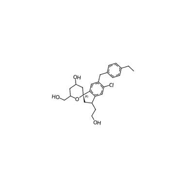 CCc1ccc(Cc2cc3c(cc2Cl)C(CCO)C[C@@]32CC(O)CC(CO)O2)cc1